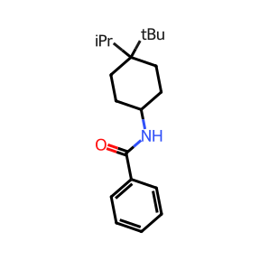 CC(C)C1(C(C)(C)C)CCC(NC(=O)c2ccccc2)CC1